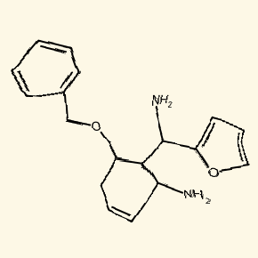 NC1C=CCC(OCc2ccccc2)C1C(N)c1ccco1